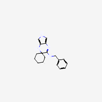 c1ccc(CNC2=Nc3c[nH]cc3NC23CCCCC3)cc1